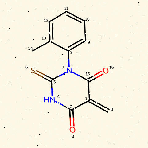 C=C1C(=O)NC(=S)N(c2ccccc2C)C1=O